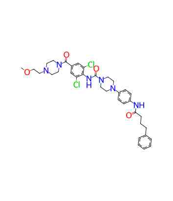 COCCN1CCN(C(=O)c2cc(Cl)c(NC(=O)N3CCN(c4ccc(NC(=O)CCCc5ccccc5)cc4)CC3)c(Cl)c2)CC1